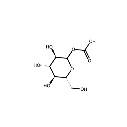 O=C(O)OC1O[C@H](CO)[C@@H](O)[C@H](O)[C@H]1O